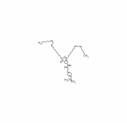 CCCCC/C=C\C/C=C\CCCCCCCCOC(=O)C1CC(NC(=O)CCN2CCN(CN(C)C)CC2)CN1C(=O)CCCCCCC/C=C\C/C=C\CCCCC